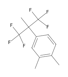 Cc1ccc(C(C)(C(F)(F)F)C(F)(F)F)cc1C